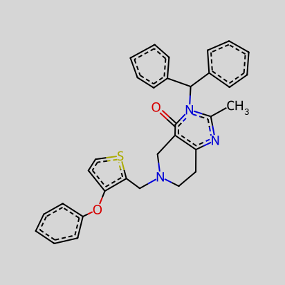 Cc1nc2c(c(=O)n1C(c1ccccc1)c1ccccc1)CN(Cc1sccc1Oc1ccccc1)CC2